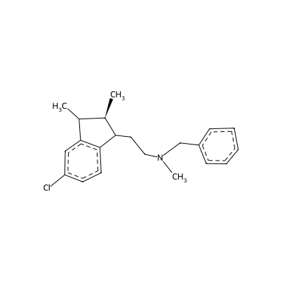 CC1c2cc(Cl)ccc2C(CCN(C)Cc2ccccc2)[C@@H]1C